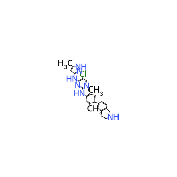 Cc1cc(Nc2nc(Nc3cc(C)c(-c4ccc5c(c4)CCNC5)cc3C)ncc2Cl)n[nH]1